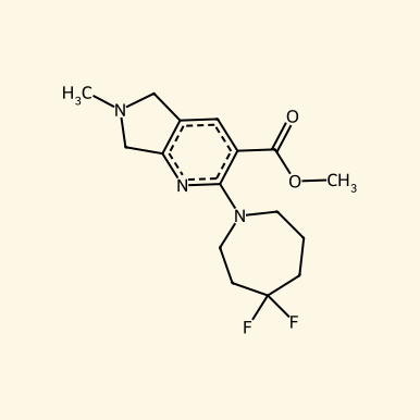 COC(=O)c1cc2c(nc1N1CCCC(F)(F)CC1)CN(C)C2